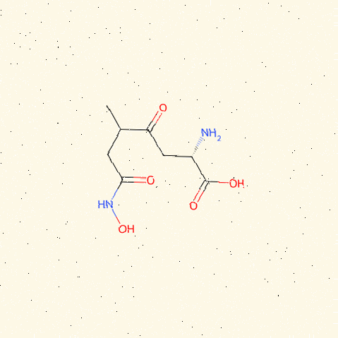 CC(CC(=O)NO)C(=O)C[C@H](N)C(=O)O